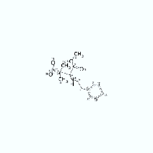 COC(=O)[C@@H](NCCc1ccccc1)C(C)(C)[N+](=O)[O-]